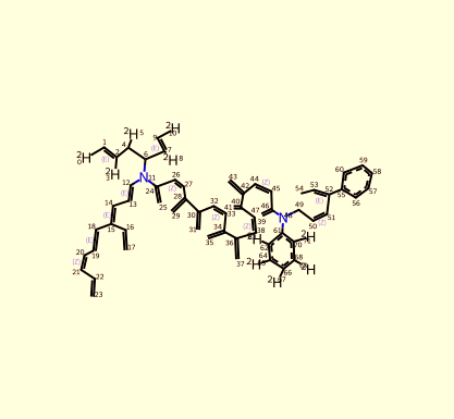 [2H]/C=C(\[2H])C([2H])C(/C([2H])=C/[2H])N(/C=C/C=C(C=C)/C=C/C=C\C=C)C(=C)/C=C\C(=C)C(=C)/C=C\C(=C)C(=C)/C=C\C(=C)C(=C)/C=C\C(=C)N(C/C=C\C(=C/C)c1ccccc1)c1c([2H])c([2H])c([2H])c([2H])c1[2H]